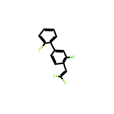 FC(F)=Cc1ccc(-c2ccccc2F)cc1F